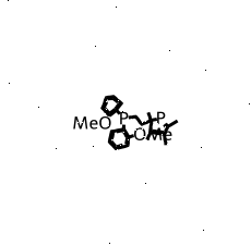 COc1ccccc1P(CCC1(C)P=C(C)C(C)=C1C)c1ccccc1OC